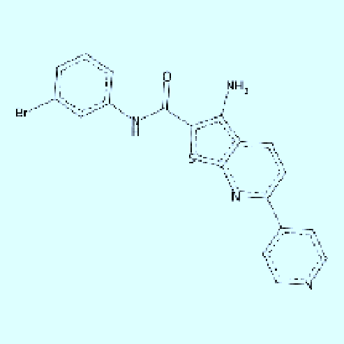 Nc1c(C(=O)Nc2cccc(Br)c2)sc2nc(-c3ccncc3)ccc12